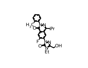 CCn1c(CO)nn(-c2cc3c(C(C)C)nn(-c4ccccc4C)c(=O)c3cc2F)c1=O